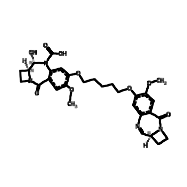 COc1cc2c(cc1OCCCCCOc1cc3c(cc1OC)C(=O)N1CC[C@H]1[C@H](O)N3C(=O)O)N=C[C@@H]1CCN1C2=O